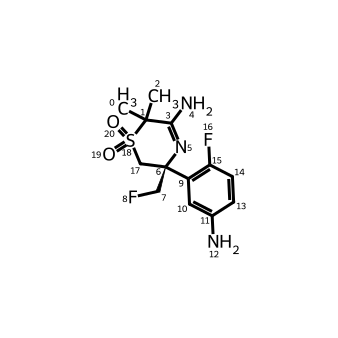 CC1(C)C(N)=N[C@](CF)(c2cc(N)ccc2F)CS1(=O)=O